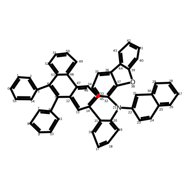 c1ccc(-c2c(-c3ccccc3)c3cc(-c4ccccc4N(c4ccc5ccccc5c4)c4cccc5c4oc4ccccc45)ccc3c3ccccc23)cc1